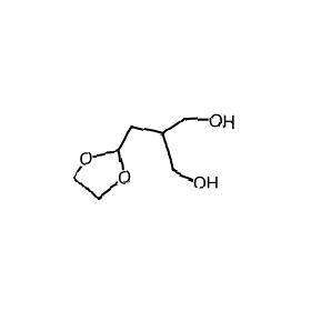 OCC(CO)CC1OCCO1